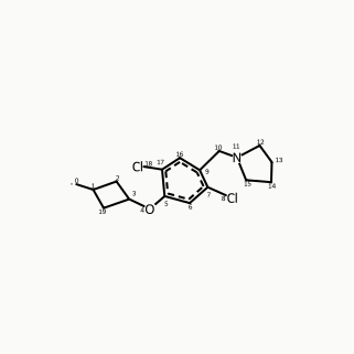 [CH2]C1CC(Oc2cc(Cl)c(CN3CCCC3)cc2Cl)C1